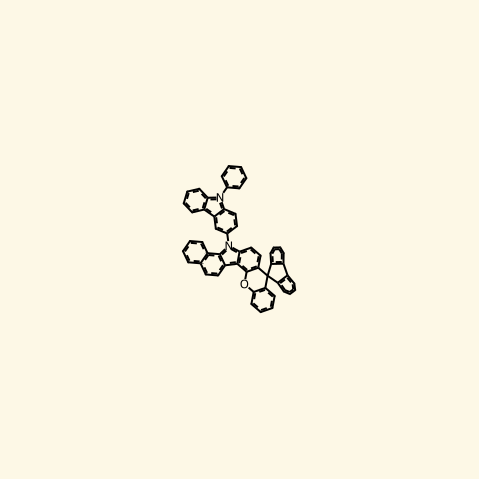 c1ccc(-n2c3ccccc3c3cc(-n4c5ccc6c(c5c5ccc7ccccc7c54)Oc4ccccc4C64c5ccccc5-c5ccccc54)ccc32)cc1